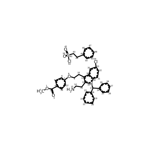 COC(=O)c1ccc(OCCc2c(CCN)n(C(c3ccccc3)c3ccccc3)c3ccc(Cl)cc23)cc1.O=S(=O)(Cl)CCc1ccccc1